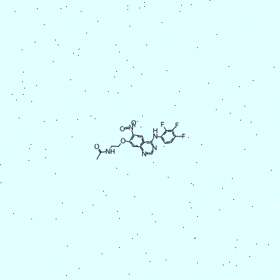 CC(=O)NCCOc1cc2ncnc(Nc3ccc(F)c(F)c3F)c2cc1[N+](=O)[O-]